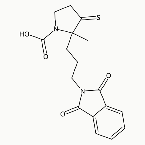 CC1(CCCN2C(=O)c3ccccc3C2=O)C(=S)CCN1C(=O)O